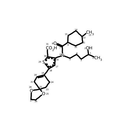 CC(O)CCCN(C(=O)C1CCC(C)CC1)c1cc(C2=CCC3(CC2)OCCO3)sc1C(=O)O